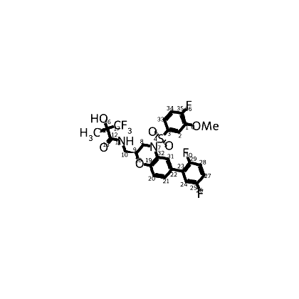 COc1cc(S(=O)(=O)N2C[C@H](CNC(=O)C(C)(O)C(F)(F)F)Oc3ccc(-c4cc(F)ccc4F)cc32)ccc1F